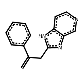 C=C(Cc1nc2cnccc2[nH]1)c1ccccc1